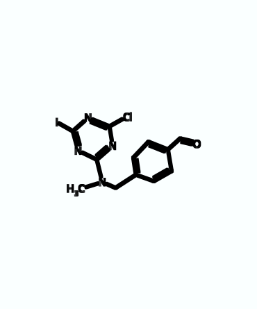 CN(Cc1ccc(C=O)cc1)c1nc(Cl)nc(I)n1